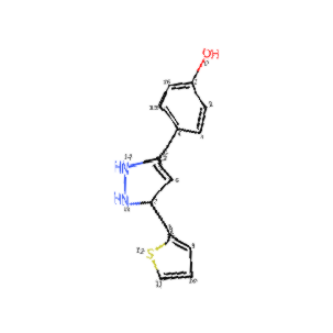 Oc1ccc(C2=CC(c3cccs3)NN2)cc1